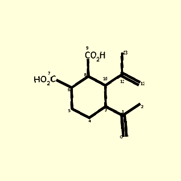 C=C(C)C1CCC(C(=O)O)C(C(=O)O)C1C(=C)C